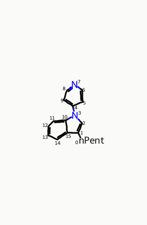 CCCCCc1cn(-c2ccncc2)c2ccccc12